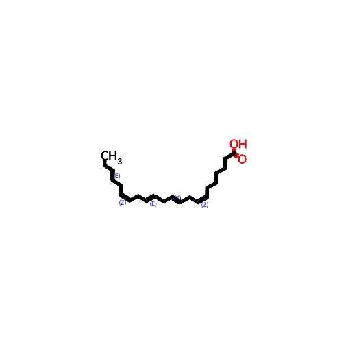 CC/C=C/C/C=C\C/C=C/C/C=C/C/C=C\CCCCCC(=O)O